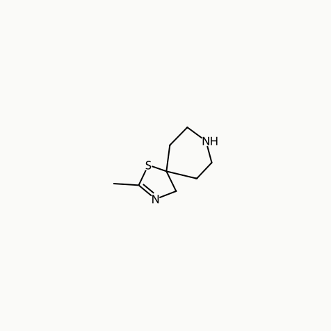 CC1=NCC2(CCNCC2)S1